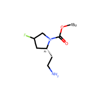 CC(C)(C)OC(=O)N1CC(F)C[C@H]1CCN